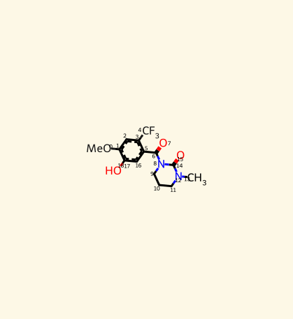 COc1cc(C(F)(F)F)c(C(=O)N2CCCN(C)C2=O)cc1O